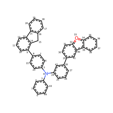 c1ccc(N(c2ccc(-c3cccc4c3Cc3ccccc3-4)cc2)c2cccc(-c3ccc4oc5ccccc5c4c3)c2)cc1